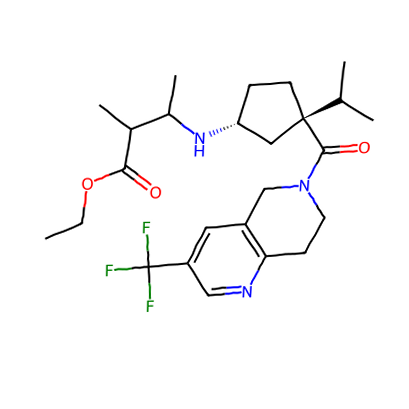 CCOC(=O)C(C)C(C)N[C@@H]1CC[C@@](C(=O)N2CCc3ncc(C(F)(F)F)cc3C2)(C(C)C)C1